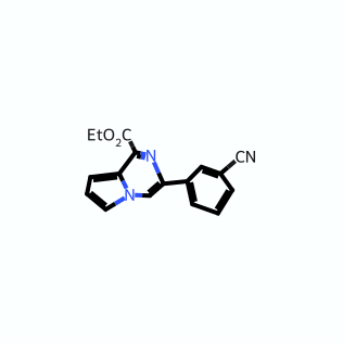 CCOC(=O)c1nc(-c2cccc(C#N)c2)cn2cccc12